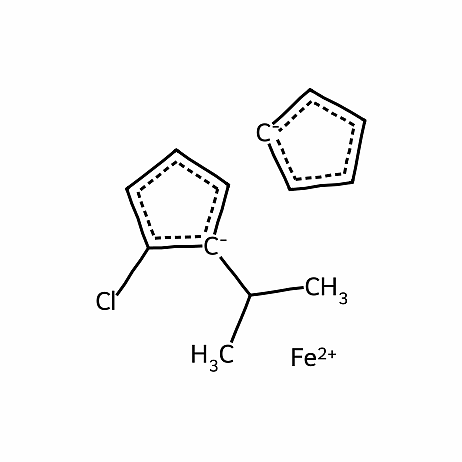 CC(C)[c-]1cccc1Cl.[Fe+2].c1cc[cH-]c1